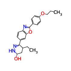 CCCOc1ccc(-c2nc3ccc(C4=NNC(O)CC4CC)cc3o2)cc1